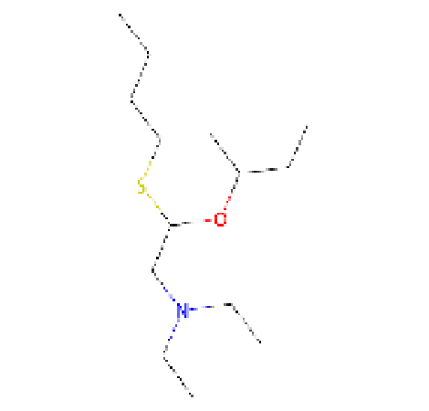 CCCCSC(CN(CC)CC)OC(C)CC